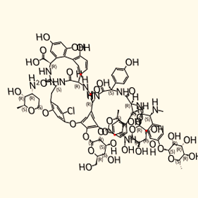 CN[C@H](C(=O)N[C@H]1C(=O)N[C@@H](c2ccc(O)cc2)C(=O)N[C@H]2C(=O)N[C@H]3C(=O)N[C@@H](Cc4cc(Cl)c(cc4O[C@H]4C[C@@H](N)[C@@H](O)[C@H](C)O4)Oc4cc2cc(c4O[C@@H]2O[C@H](CO)[C@@H](O)[C@H](O)[C@H]2O[C@H]2C[C@@H](N)[C@@H](O)[C@H](C)O2)Oc2ccc(cc2)[C@H]1O[C@@H]1O[C@@H](CO)[C@H](O)[C@@H](O)[C@H]1O)C(=O)N[C@@H](C(=O)O)c1cc(O)cc(O)c1-c1cc3ccc1O)c1ccc(O[C@@H]2O[C@@H](C)[C@H](O)[C@@H](O)[C@H]2O)cc1